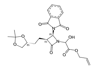 C=CCOC(=O)C(O)N1C(=O)[C@@H](CC[C@@H]2COC(C)(C)O2)[C@H]1N1C(=O)c2ccccc2C1=O